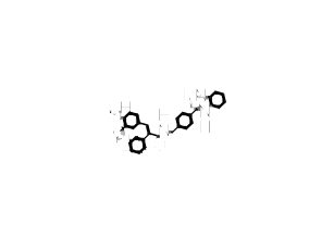 COc1ccc(/C=C(/C(=O)NCc2ccc(C(=O)Nc3ccccc3N)cc2)c2ccc(F)cc2)cc1OC